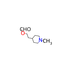 CN1CCC(CCOC=O)CC1